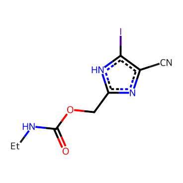 CCNC(=O)OCc1nc(C#N)c(I)[nH]1